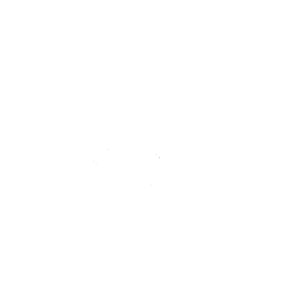 Cc1cc(Cn2c(=O)c(C3=NS(=O)(=O)c4ccccc4N3)c(O)c3cccn32)ccc1F